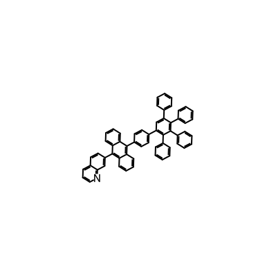 c1ccc(-c2cc(-c3ccc(-c4c5ccccc5c(-c5ccc6cccnc6c5)c5ccccc45)cc3)c(-c3ccccc3)c(-c3ccccc3)c2-c2ccccc2)cc1